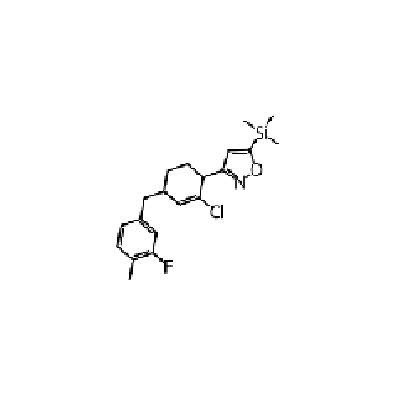 Cc1ccc(CC2C=C(Cl)C(c3cc([Si](C)(C)C)on3)CC2)cc1F